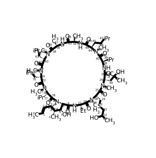 C/C=C/C[C@@H](C)[C@@H](O)[C@H]1C(=O)N[C@@H](CC)C(=O)N(C)[C@@H](CSCC(C)O)C(=O)N(C)[C@@H](CC(C)(C)O)C(=O)N[C@H](C(C)C)C(=O)N(C)[C@H](CCC(C)C)C(=O)N[C@H](C)C(=O)N[C@@H](C)C(=O)N(C)[C@@H](CC(C)C)C(=O)N(C)[C@@H](CC(C)C)C(=O)N(C)[C@@H](C(C)C)C(=O)N1C